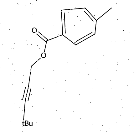 Cc1ccc(C(=O)OCC#CC(C)(C)C)cc1